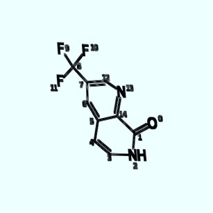 O=c1[nH]ccc2cc(C(F)(F)F)cnc12